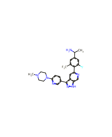 CC(N)c1cc(F)c(-c2cc3c(-c4ccc(N5CCN(C)CC5)nc4)n[nH]c3cn2)c(C(F)(F)F)c1